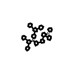 c1ccc(-c2cc(-c3ccccc3)cc(-c3ccc(N(c4cccc(-c5cccc(-c6cccc7c6c6ccccc6n7-c6ccccc6)c5)c4)c4cc(-c5ccccc5)cc(-c5ccccc5)c4)cc3)c2)cc1